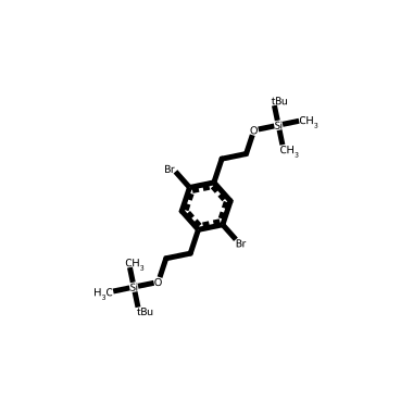 CC(C)(C)[Si](C)(C)OCCc1cc(Br)c(CCO[Si](C)(C)C(C)(C)C)cc1Br